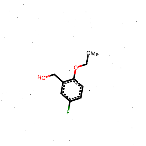 COCOc1ccc(F)cc1CO